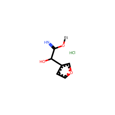 CCOC(=N)C(O)c1ccoc1.Cl